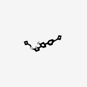 Fc1cc(-c2ccc(C3CCC3)cc2)ccc1-c1ccc(OCC2CCC2)s1